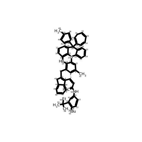 C=C(/C=C\C1=C(Cc2cc(C)cc3c2Bc2cccc4c2N3c2ccccc2C4(C2=CCC=CC=C2)c2ccc(C)cc2)Cc2ccccc21)Nc1ccc(C(C)(C)C)c(C(C)(C)CC)c1